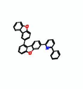 c1ccc(-c2cccc(-c3ccc4c(c3)oc3cccc(-c5ccc6oc7ccccc7c6c5)c34)n2)cc1